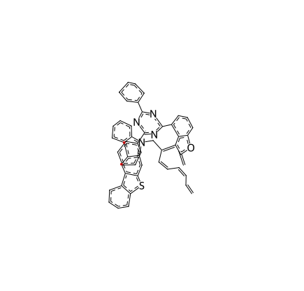 C=C\C=C/C=C\C(Cn1c2ccccc2c2cc3c(cc21)sc1ccccc13)=c1/c(=C)oc2cccc(-c3nc(-c4ccccc4)nc(-c4ccccc4)n3)c12